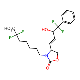 O=C1OCC(/C=C/C(O)C(F)(F)c2ccccc2)N1CCCCCC(F)(F)C(=O)O